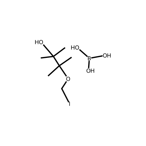 CC(C)(O)C(C)(C)OCI.OB(O)O